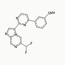 CSc1cccc(-c2ccnc(-c3cnc4cnc(C(F)F)cn34)n2)c1